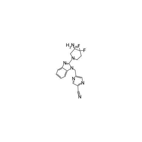 N#Cc1cnc(Cn2c(N3CCC(F)(F)[C@H](N)C3)nc3ccccc32)cn1